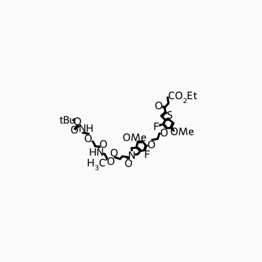 CCOC(=O)CCC(=O)c1cc2c(F)c(OCCCOc3c(OC)cc4c(c3F)CN(C(=O)CCC(=O)O[C@@H](C)CNC(=O)CCOCCNC(=O)OC(C)(C)C)C4)c(OC)cc2s1